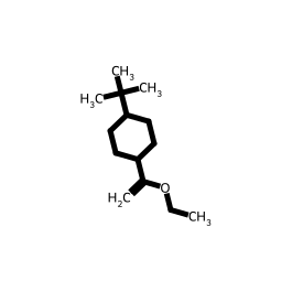 C=C(OCC)C1CCC(C(C)(C)C)CC1